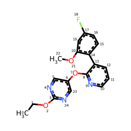 CCOc1ncc(Oc2ncccc2-c2ccc(F)cc2OC)cn1